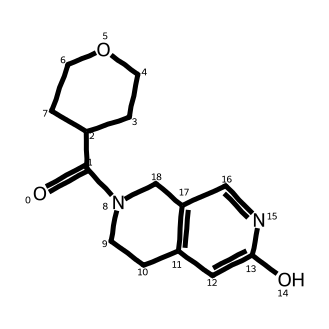 O=C(C1CCOCC1)N1CCc2cc(O)ncc2C1